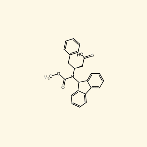 COC(=O)N(C1c2ccccc2-c2ccccc21)[C@H](CC(=O)O)Cc1ccccc1